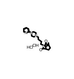 CC12CCC(C(=O)N(CCCCN3CCN(c4ccccn4)CC3)C1=O)C2(C)C.Cl.Cl